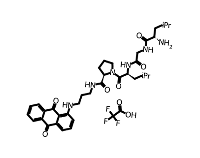 CC(C)C[C@H](NC(=O)CNC(=O)[C@@H](N)CC(C)C)C(=O)N1CCC[C@@H]1C(=O)NCCCNc1cccc2c1C(=O)c1ccccc1C2=O.O=C(O)C(F)(F)F